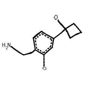 NCc1ccc(C2([O])CCC2)cc1Cl